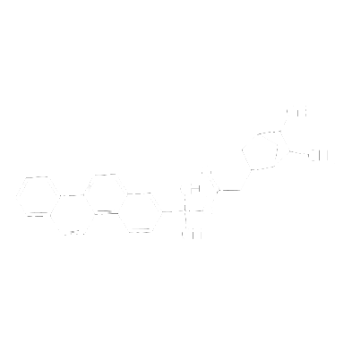 CC1C2CC(CC(=O)OC(C)(C)c3ccc4c(ccc5c6ccccc6ccc45)c3)C(C2)C1C